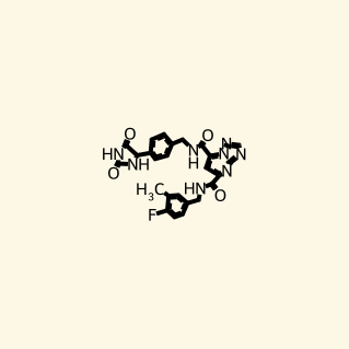 Cc1cc(CNC(=O)c2cc(C(=O)NCc3ccc(C4NC(=O)NC4=O)cc3)n3ncnc3n2)ccc1F